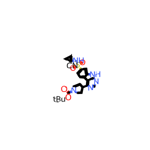 CC(C)(C)OC(=O)N1C=CC(c2ncnc3[nH]c4cc(S(=O)(=O)NC5(C#N)CC5)ccc4c23)CC1